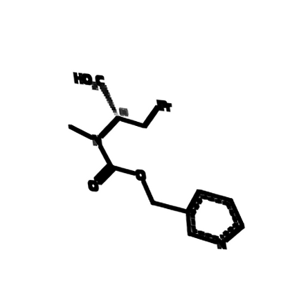 CC(C)C[C@@H](C(=O)O)N(C)C(=O)OCc1cccnc1